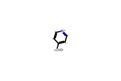 O=[C]c1ccncc1